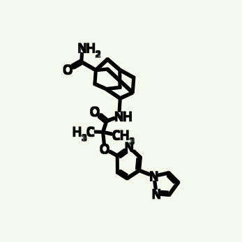 CC(C)(Oc1ccc(-n2cccn2)cn1)C(=O)NC1C2CC3CC1CC(C(N)=O)(C3)C2